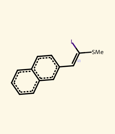 CS/C(I)=C/c1ccc2ccccc2c1